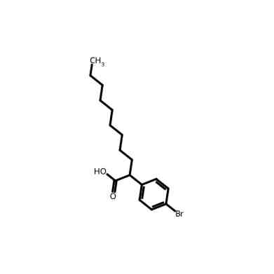 CCCCCCCCCC(C(=O)O)c1ccc(Br)cc1